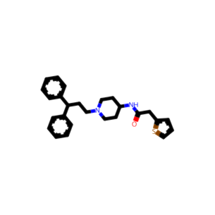 O=C(Cc1cccs1)NC1CCN(CCC(c2ccccc2)c2ccccc2)CC1